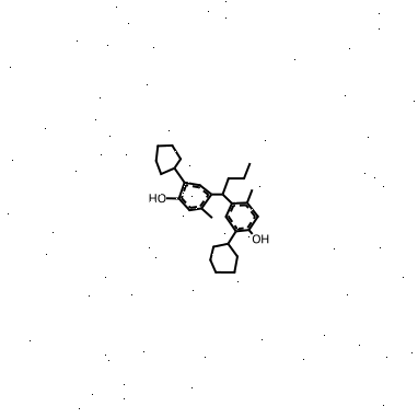 CCCC(c1cc(C2CCCCC2)c(O)cc1C)c1cc(C2CCCCC2)c(O)cc1C